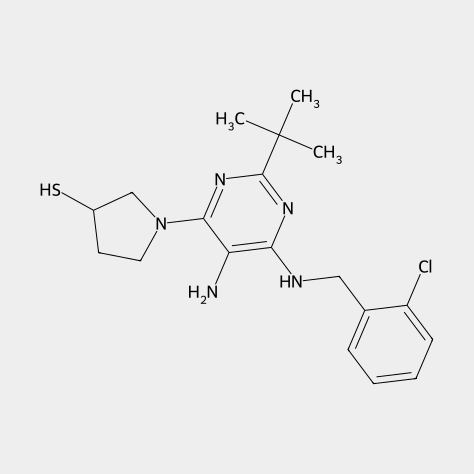 CC(C)(C)c1nc(NCc2ccccc2Cl)c(N)c(N2CCC(S)C2)n1